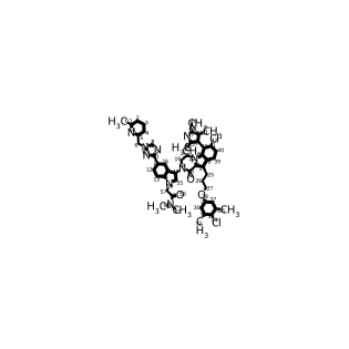 Cc1cccc(Cn2cnc(-c3ccc4c(c3)c(N3CC(C)n5c(c(CCCOc6cc(C)c(Cl)c(C)c6)c6ccc(Cl)c(-c7c(C)nn(C)c7C)c65)C3=O)cn4CC(=O)N(C)C)n2)n1